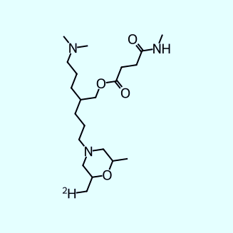 [2H]CC1CN(CCCC(CCCN(C)C)COC(=O)CCC(=O)NC)CC(C)O1